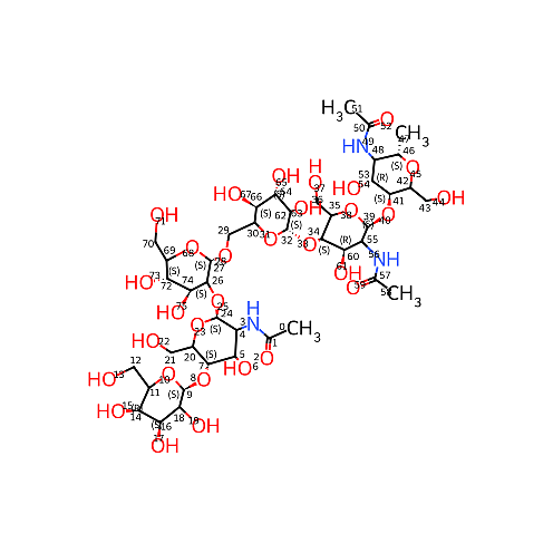 CC(=O)NC1C(O)[C@H](O[C@@H]2OC(CO)[C@H](O)[C@H](O)C2O)C(CO)O[C@H]1OC1[C@@H](OCC2O[C@@H](O[C@@H]3C(CO)O[C@@H](O[C@@H]4C(CO)O[C@@H](C)C(NC(C)=O)[C@H]4O)C(NC(C)=O)[C@H]3O)C(O)[C@@H](O)[C@@H]2O)OC(CO)[C@@H](O)[C@@H]1O